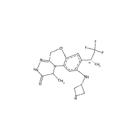 CC1C(=O)NN=C2COc3cc([C@@H](C)C(F)(F)F)c(NC4CNC4)cc3N21